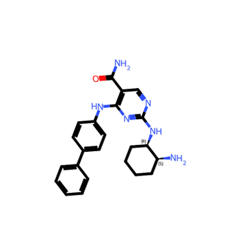 NC(=O)c1cnc(N[C@@H]2CCCC[C@@H]2N)nc1Nc1ccc(-c2ccccc2)cc1